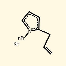 C=CCc1cccn1CCC.[KH]